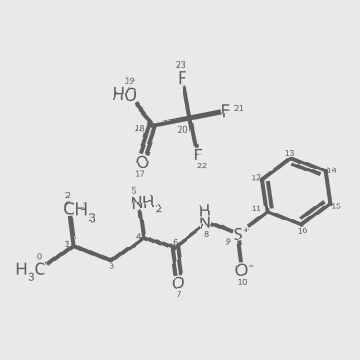 CC(C)CC(N)C(=O)N[S+]([O-])c1ccccc1.O=C(O)C(F)(F)F